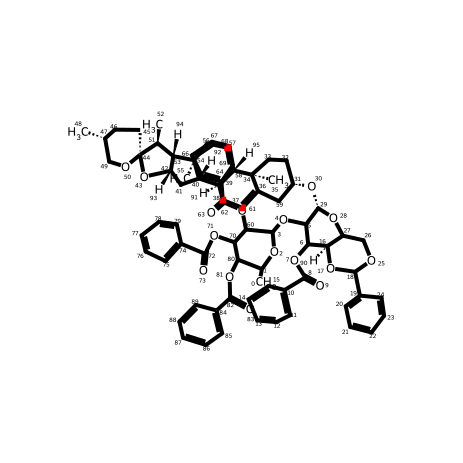 CC1OC(OC2C(OC(=O)c3ccccc3)[C@@H]3OC(c4ccccc4)OCC3O[C@H]2O[C@H]2CC[C@@]3(C)C(=CC[C@H]4[C@@H]5C[C@@H]6O[C@]7(CC[C@@H](C)CO7)[C@@H](C)[C@@H]6[C@@]5(C)CC[C@@H]43)C2)C(OC(=O)c2ccccc2)C(OC(=O)c2ccccc2)C1OC(=O)c1ccccc1